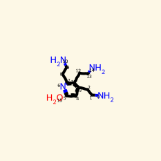 NCCc1ccnc(CCN)c1CCN.O